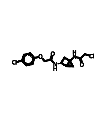 O=C(COc1ccc(Cl)cc1)N[C@@H]1CC2(NC(=O)CCl)C=C12